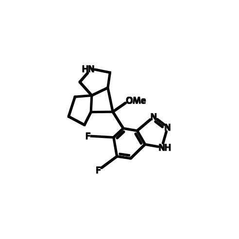 COC1(c2c(F)c(F)cc3[nH]nnc23)C2CCCC23CNCC31